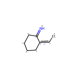 CC/C=C1/CCCCC1=N